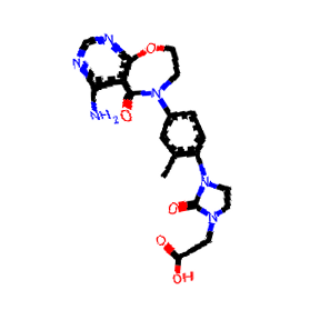 Cc1cc(N2CCOc3ncnc(N)c3C2=O)ccc1N1CCN(CC(=O)O)C1=O